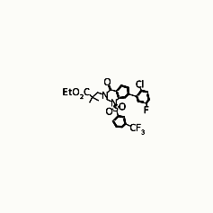 CCOC(=O)C(C)(C)CN1CN(S(=O)(=O)c2cccc(C(F)(F)F)c2)c2cc(-c3cc(F)ccc3Cl)ccc2C1=O